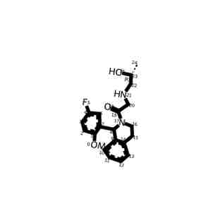 COc1ccc(F)cc1C1c2ccccc2CCN1C(=O)CNC[C@@H](C)O